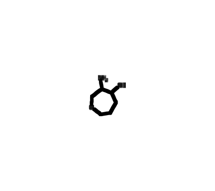 NC1COCCCC1O